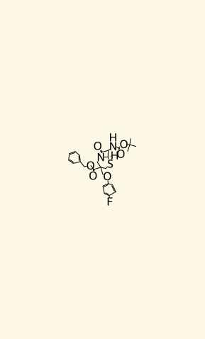 CC(C)(C)OC(=O)NC1C(=O)N2CC(COc3ccc(F)cc3)(C(=O)OCc3ccccc3)CS[C@H]12